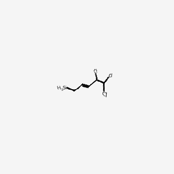 [SiH3]CC=CC(Cl)C(Cl)Cl